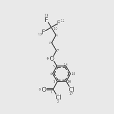 O=C(Cl)c1cc(OCCCC(F)(F)F)ccc1Cl